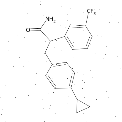 NC(=O)C(Cc1ccc(C2CC2)cc1)c1cccc(C(F)(F)F)c1